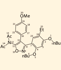 CCCCOc1cc(OCCCC)c(-c2noc(N(C(C)=O)C(C)=O)c2-c2ccc(OC)cc2)cc1CC